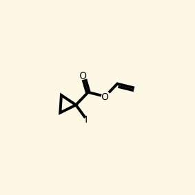 C=COC(=O)C1(I)CC1